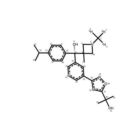 [2H]C([2H])([2H])N1CC(C)([C@](O)(c2ccc(C(C)C)cc2)c2cncc(-c3noc(C(C)(C)O)n3)c2)C1